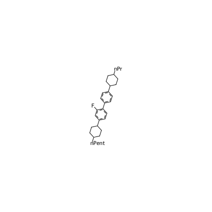 CCCCCC1CCC(c2ccc(-c3ccc(C4CCC(CCC)CC4)cc3)c(F)c2)CC1